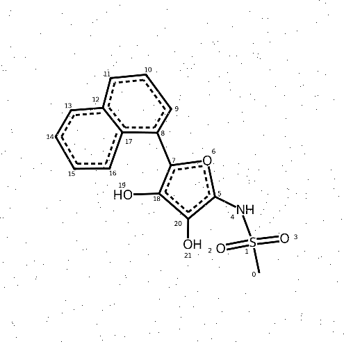 CS(=O)(=O)Nc1oc(-c2cccc3ccccc23)c(O)c1O